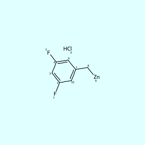 Cl.Fc1cc(F)cc([CH2][Zn])c1